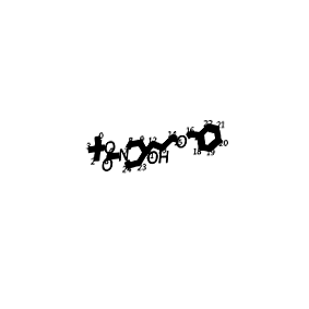 CC(C)(C)OC(=O)N1CCC(O)(CCCOCc2ccccc2)CC1